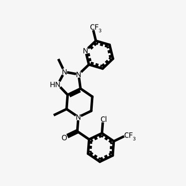 CC1C2=C(CCN1C(=O)c1cccc(C(F)(F)F)c1Cl)N(c1cccc(C(F)(F)F)n1)N(C)N2